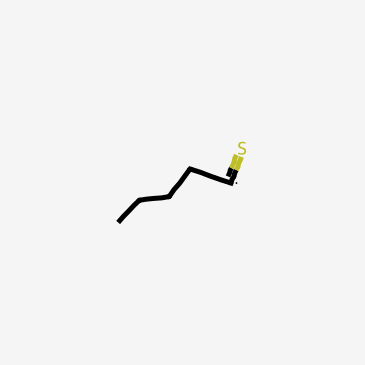 CCCC[C]=S